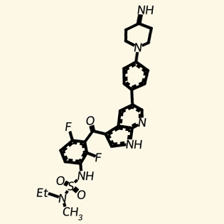 CCN(C)S(=O)(=O)Nc1ccc(F)c(C(=O)c2c[nH]c3ncc(-c4ccc(N5CCC(=N)CC5)cc4)cc23)c1F